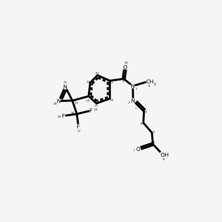 CN(/N=C/CCC(=O)O)C(=O)c1ccc(C2(C(F)(F)F)N=N2)cc1